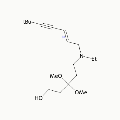 CCN(C/C=C/C#CC(C)(C)C)CCC(CCO)(OC)OC